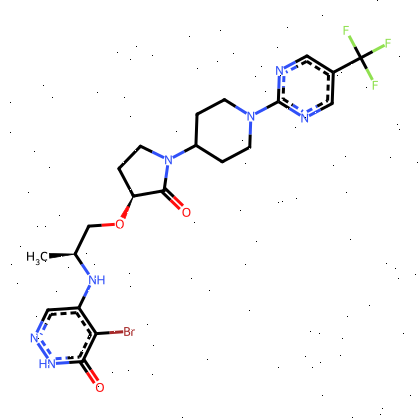 C[C@@H](CO[C@H]1CCN(C2CCN(c3ncc(C(F)(F)F)cn3)CC2)C1=O)Nc1cn[nH]c(=O)c1Br